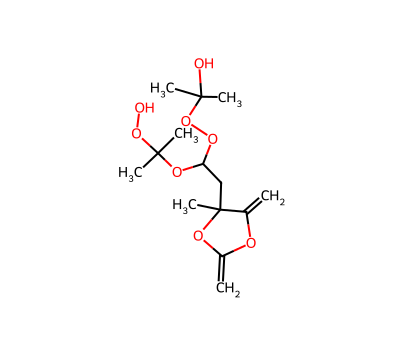 C=C1OC(=C)C(C)(CC(OOC(C)(C)O)OC(C)(C)OO)O1